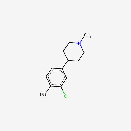 CN1CCC(c2ccc(C(C)(C)C)c(Cl)c2)CC1